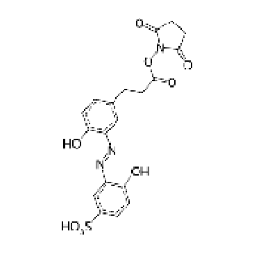 O=C(CCc1ccc(O)c(/N=N/c2cc(S(=O)(=O)O)ccc2O)c1)ON1C(=O)CCC1=O